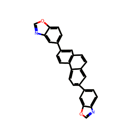 c1nc2cc(-c3ccc4c(ccc5cc(-c6ccc7ncoc7c6)ccc54)c3)ccc2o1